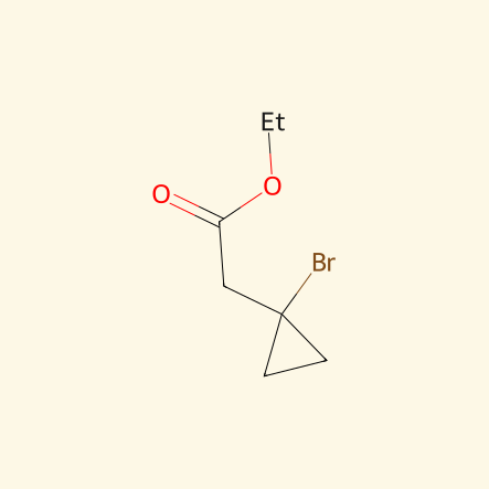 CCOC(=O)CC1(Br)CC1